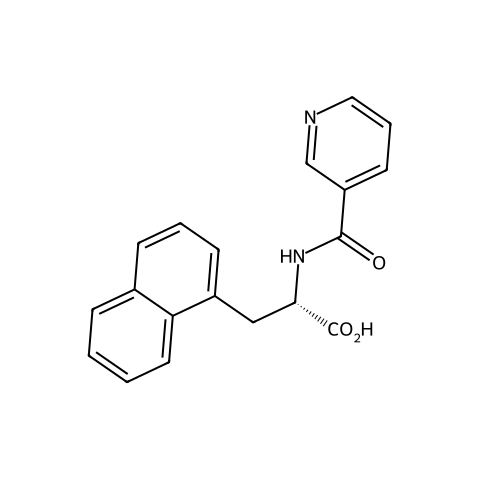 O=C(N[C@@H](Cc1cccc2ccccc12)C(=O)O)c1cccnc1